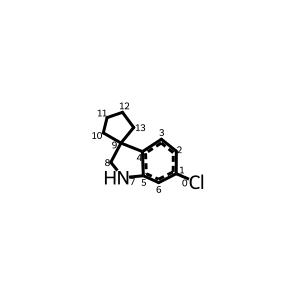 Clc1ccc2c(c1)NCC21CCCC1